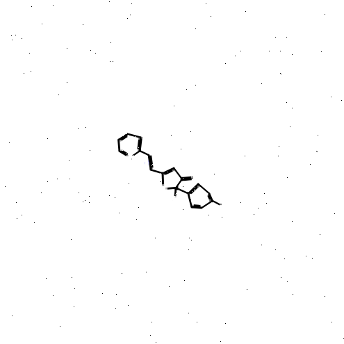 CC1(c2ccc(F)cc2)OC(/C=C/c2ccccn2)=CC1=O